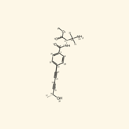 COC(=O)[C@@H](NC(=O)c1ccc(C#CC#C[C@@H](C)O)cc1)C(C)(C)N